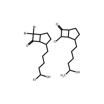 CC(O)CCCCC1CCC2C(=O)C(Cl)C12.CCC(O)CCCCC1CCC2C1C(=O)C2(Br)Br